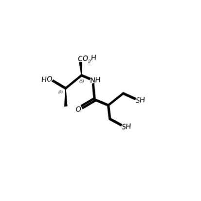 C[C@@H](O)[C@H](NC(=O)C(CS)CS)C(=O)O